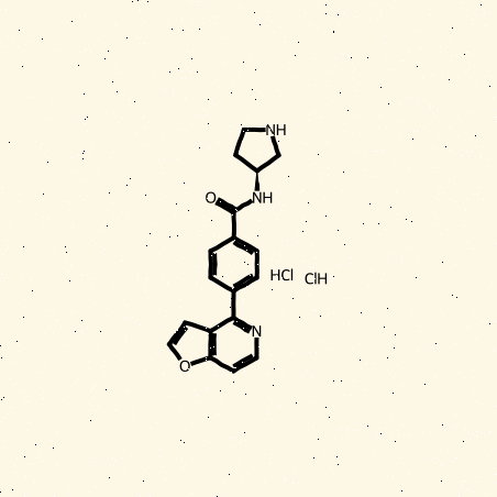 Cl.Cl.O=C(N[C@H]1CCNC1)c1ccc(-c2nccc3occc23)cc1